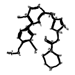 CCCOc1ccc(-c2nc(Nc3cnn(CC(=O)N4CCOCC4)c3)ncc2C)cc1F